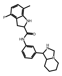 Cc1ccc(F)c2c1NC(C(=O)Nc1cccc(C3NCN4CCCCC34)c1)C2